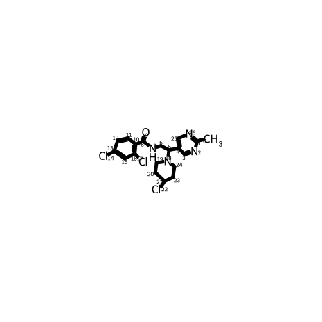 Cc1ncc(C(CNC(=O)c2ccc(Cl)cc2Cl)N2CCC(Cl)CC2)cn1